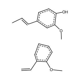 C=Cc1ccccc1OC.CC=Cc1ccc(O)c(OC)c1